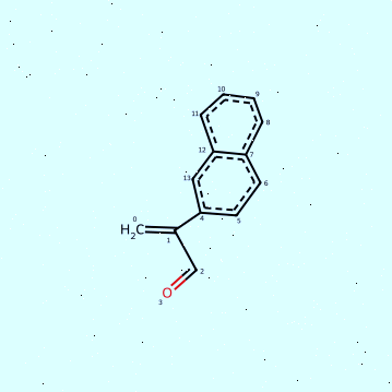 C=C(C=O)c1ccc2ccccc2c1